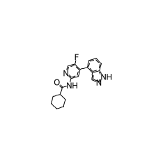 O=C(Nc1cc(-c2cccc3[nH]ncc23)c(F)cn1)C1CCCCC1